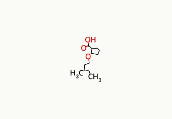 CCC(C)CCOC1CCCC1C(=O)O